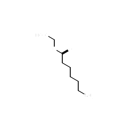 NCCCCCC(=O)OCC(=O)O